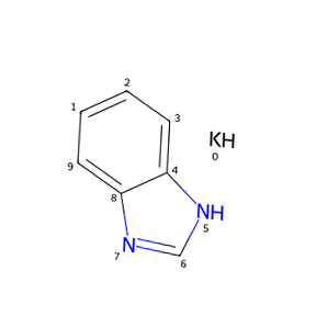 [KH].c1ccc2[nH]cnc2c1